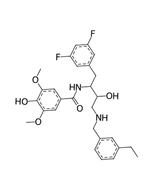 CCc1cccc(CNCC(O)C(Cc2cc(F)cc(F)c2)NC(=O)c2cc(OC)c(O)c(OC)c2)c1